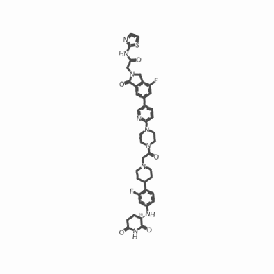 O=C1CC[C@H](Nc2ccc(C3CCN(CC(=O)N4CCN(c5ccc(-c6cc(F)c7c(c6)C(=O)N(CC(=O)Nc6nccs6)C7)cn5)CC4)CC3)c(F)c2)C(=O)N1